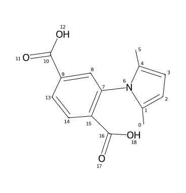 Cc1ccc(C)n1-c1cc(C(=O)O)ccc1C(=O)O